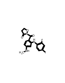 CNc1ccc(C(=O)N2OCCC2=O)c(Nc2ccc(I)cc2F)c1